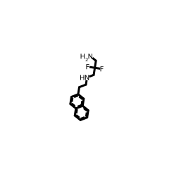 NCC(F)(F)CNCCc1ccc2ccccc2c1